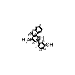 CN(C)C1=C(c2ccccc2)NN(c2cccc(O)c2)C=C1N